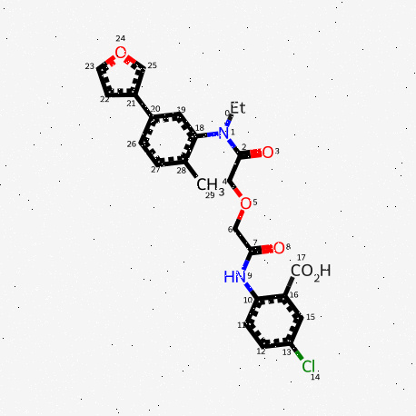 CCN(C(=O)COCC(=O)Nc1ccc(Cl)cc1C(=O)O)c1cc(-c2ccoc2)ccc1C